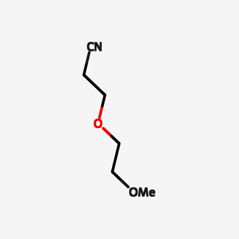 COCCOCCC#N